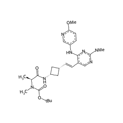 CNc1ncc(C=C[C@H]2C[C@@H](NC(=O)[C@H](C)N(C)C(=O)OC(C)(C)C)C2)c(Nc2ccc(OC)nc2)n1